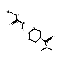 CN(C)C(=O)[C@H]1CC[C@H](CNC(=O)OC(C)(C)C)CC1